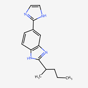 CCCC(C)c1nc2cc(-c3ncc[nH]3)ccc2[nH]1